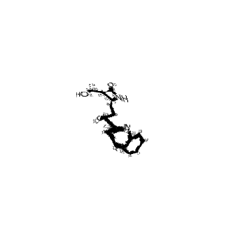 C[C@@H](O)[C@H]1C(=O)N[C@H]1CCC(=S)c1ccc2ccccc2n1